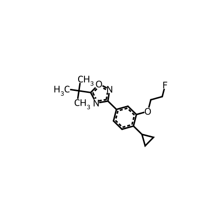 CC(C)(C)c1nc(-c2ccc(C3CC3)c(OCCF)c2)no1